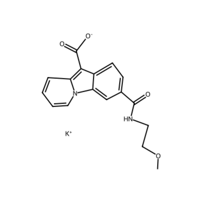 COCCNC(=O)c1ccc2c(C(=O)[O-])c3ccccn3c2c1.[K+]